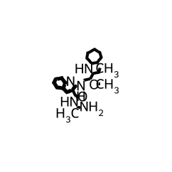 CCC(NC1CCCCCC1)C(CNc1nc2ccccc2cc1C(=O)NC(C)N)OC